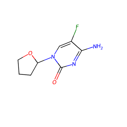 Nc1nc(=O)n(C2CCCO2)cc1F